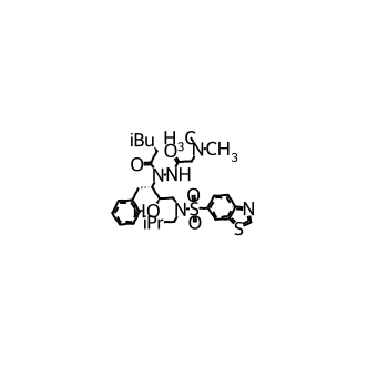 CC[C@H](C)CC(=O)N(NC(=O)CN(C)C)[C@@H](Cc1ccccc1)[C@H](O)CN(CC(C)C)S(=O)(=O)c1ccc2ncsc2c1